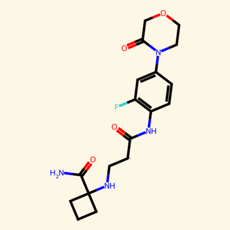 NC(=O)C1(NC[CH]C(=O)Nc2ccc(N3CCOCC3=O)cc2F)CCC1